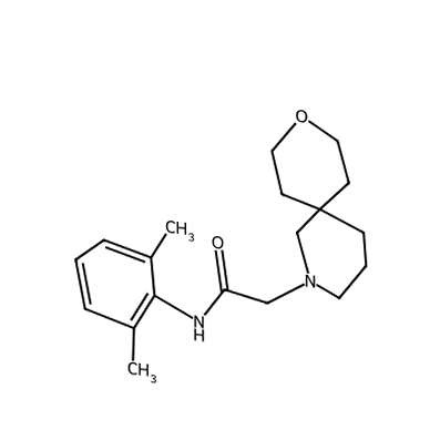 Cc1cccc(C)c1NC(=O)CN1CCCC2(CCOCC2)C1